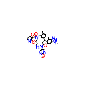 CC[C@@H]1CN(Cc2cc(C(CC(=O)Nc3cnc(OC)nc3)c3ccc4c(nnn4CC)c3C)ccc2C)S(=O)(=O)c2cccnc2O1